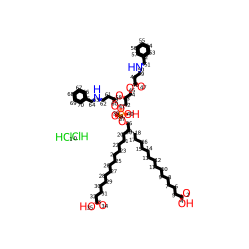 Cl.Cl.O=C(O)CCCCCCCCCCCCCC[C@H](CCCCCCCCCCCCCC(=O)O)COP(=O)(O)OCC(COC(=O)CCNCc1ccccc1)OC(=O)CCNCc1ccccc1